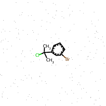 CC(C)(Cl)c1cccc(Br)c1